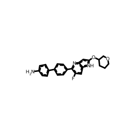 Nc1ccc(-c2ccc(-c3nc4cc(OC5CCCOC5)[nH]c4cc3F)cc2)cc1